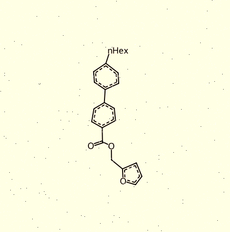 CCCCCCc1ccc(-c2ccc(C(=O)OCc3ccco3)cc2)cc1